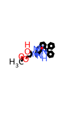 CC(=O)OCCC(CO)n1cnc2c(NC(c3ccccc3)(c3ccccc3)c3ccccc3)ncnc21